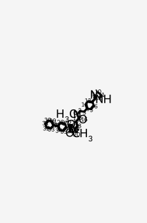 CN(CCc1ccc(C2=NCCN2)cc1)C(=O)CCN(C)S(=O)(=O)c1ccc(-c2ccccc2)cc1